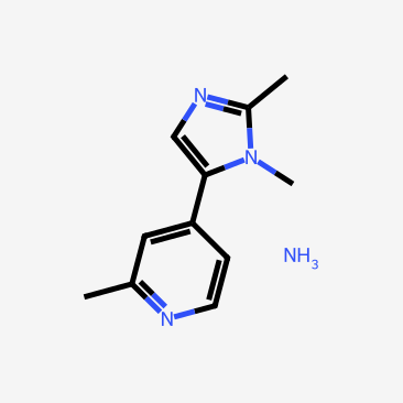 Cc1cc(-c2cnc(C)n2C)ccn1.N